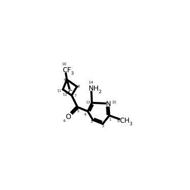 Cc1ccc(C(=O)C23CC(C(F)(F)F)(C2)C3)c(N)n1